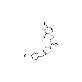 O=C(COc1ccc(F)cc1F)N1CCN(Cc2ccc(Cl)cc2)CC1